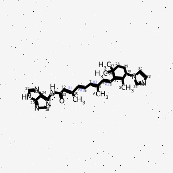 CC1=C(/C=C/C(C)=C/C=C/C(C)=C/C(=O)Nc2ncnc3[nH]cnc23)C(C)(C)CCC1n1ccnc1